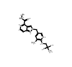 Cc1cc(Cn2cc3c(C(=O)NC(C)C)nccc3n2)cnc1OCC(C)(F)F